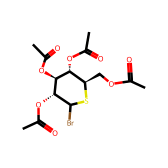 CC(=O)OC[C@H]1SC(Br)[C@H](OC(C)=O)[C@@H](OC(C)=O)[C@@H]1OC(C)=O